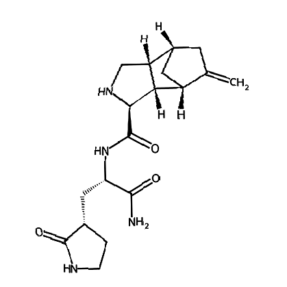 C=C1C[C@@H]2C[C@H]1[C@H]1[C@@H]2CN[C@@H]1C(=O)N[C@@H](C[C@@H]1CCNC1=O)C(N)=O